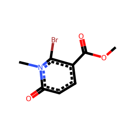 COC(=O)c1ccc(=O)n(C)c1Br